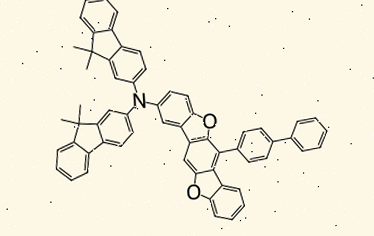 CC1(C)c2ccccc2-c2ccc(N(c3ccc4c(c3)C(C)(C)c3ccccc3-4)c3ccc4oc5c(-c6ccc(-c7ccccc7)cc6)c6c(cc5c4c3)oc3ccccc36)cc21